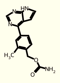 Cc1cc(-c2ncnc3[nH]ccc23)ccc1COC(N)=O